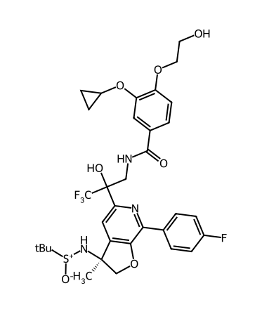 CC(C)(C)[S+]([O-])N[C@]1(C)COc2c1cc(C(O)(CNC(=O)c1ccc(OCCO)c(OC3CC3)c1)C(F)(F)F)nc2-c1ccc(F)cc1